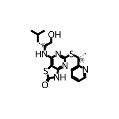 CC(C)C[C@H](CO)Nc1nc(S[C@H](C)c2ccccn2)nc2[nH]c(=O)sc12